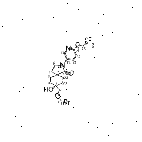 CCCOC[C@]1(O)CC[C@]2(CCN(c3ccc(OCC(F)(F)F)nc3)C2=O)CC1